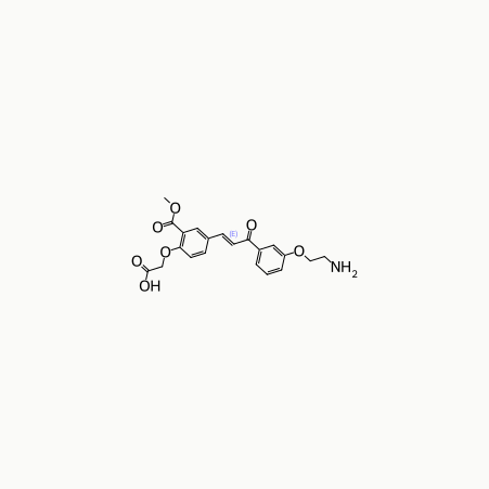 COC(=O)c1cc(/C=C/C(=O)c2cccc(OCCN)c2)ccc1OCC(=O)O